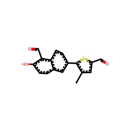 Cc1cc(C=O)sc1-c1ccc2c(C=O)c(O)ccc2c1